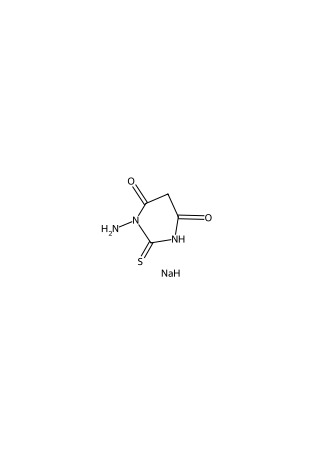 NN1C(=O)CC(=O)NC1=S.[NaH]